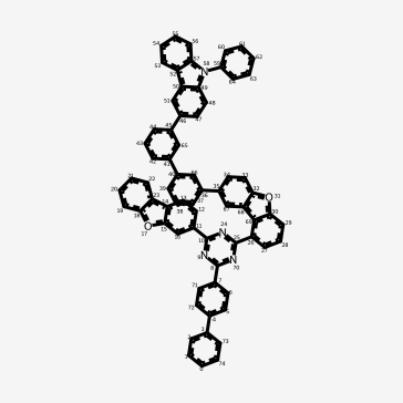 c1ccc(-c2ccc(-c3nc(-c4ccc5c(c4)oc4ccccc45)nc(-c4cccc5oc6ccc(-c7cccc(-c8cccc(-c9ccc%10c(c9)c9ccccc9n%10-c9ccccc9)c8)c7)cc6c45)n3)cc2)cc1